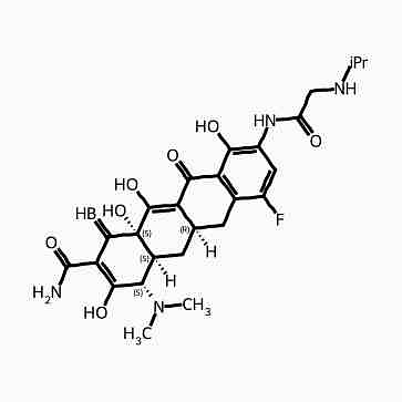 B=C1C(C(N)=O)=C(O)[C@@H](N(C)C)[C@@H]2C[C@@H]3Cc4c(F)cc(NC(=O)CNC(C)C)c(O)c4C(=O)C3=C(O)[C@]12O